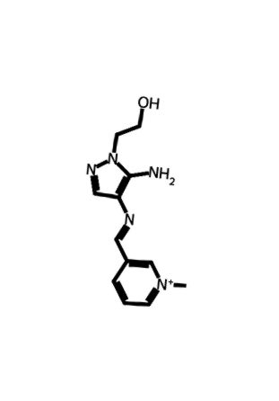 C[n+]1cccc(/C=N/c2cnn(CCO)c2N)c1